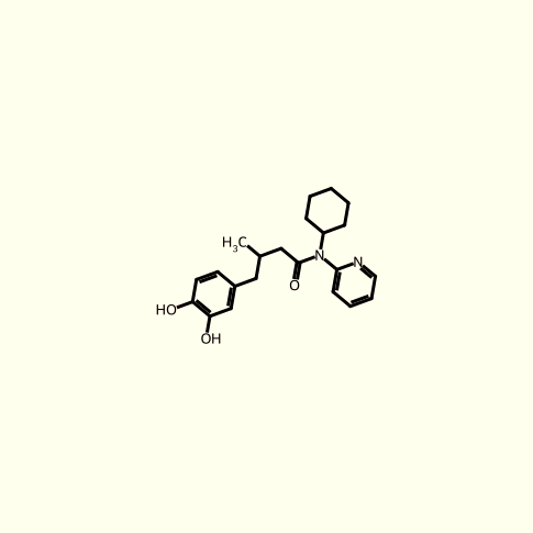 CC(CC(=O)N(c1ccccn1)C1CCCCC1)Cc1ccc(O)c(O)c1